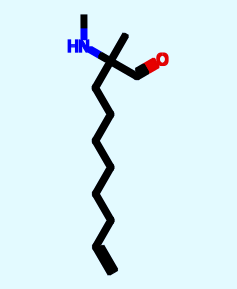 C=CCCCCCCC(C)(C=O)NC